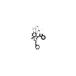 CCNC(=O)Nc1sc2ccccc2c1C(=O)C1CNCCC12N=C(COC1CCCCC1)NC2=O